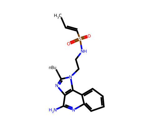 CC=CS(=O)(=O)NCCn1c(CCCC)nc2c(N)nc3ccccc3c21